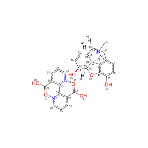 CN1CC[C@]23c4c5ccc(O)c4O[C@H]2[C@@H](O)C=C[C@H]3[C@H]1C5.O=C(O)c1cccnc1-c1ncccc1C(=O)O